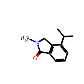 BN1Cc2c(cccc2C(C)C)C1=O